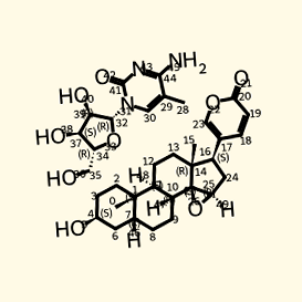 C[C@]12CC[C@H](O)C[C@H]1CC[C@@H]1[C@@H]2CC[C@]2(C)[C@@H](c3ccc(=O)oc3)C[C@H]3O[C@]132.Cc1cn([C@@H]2O[C@H](CO)[C@@H](O)[C@H]2O)c(=O)nc1N